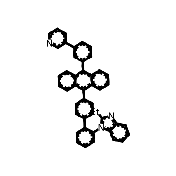 CCc1nc2ccccc2n1-c1ccccc1-c1ccc(-c2c3ccccc3c(-c3cccc(-c4cccnc4)c3)c3ccccc23)cc1